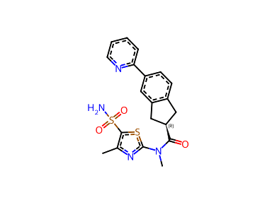 Cc1nc(N(C)C(=O)[C@@H]2Cc3ccc(-c4ccccn4)cc3C2)sc1S(N)(=O)=O